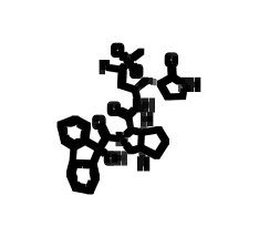 CS(=O)(=O)/C(F)=C\[C@@H](C[C@H]1CCNC1=O)NC(=O)[C@H]1[C@H]2CCC[C@H]2CN1C(=O)C1(O)c2ccccc2-c2ccccc21